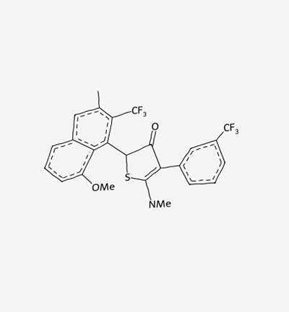 CNC1=C(c2cccc(C(F)(F)F)c2)C(=O)C(c2c(C(F)(F)F)c(C)cc3cccc(OC)c23)S1